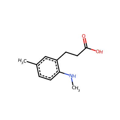 CNc1ccc(C)cc1CCC(=O)O